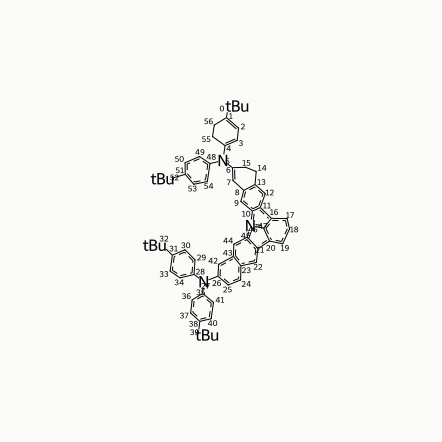 CC(C)(C)C1=CC=C(N(C2=Cc3cc4c(cc3CC2)c2cccc3c5cc6ccc(N(c7ccc(C(C)(C)C)cc7)c7ccc(C(C)(C)C)cc7)cc6cc5n4c23)c2ccc(C(C)(C)C)cc2)CC1